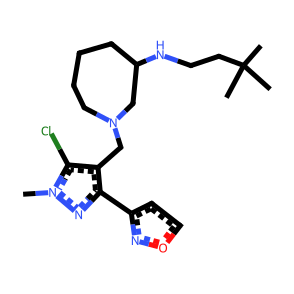 Cn1nc(-c2ccon2)c(CN2CCCCC(NCCC(C)(C)C)C2)c1Cl